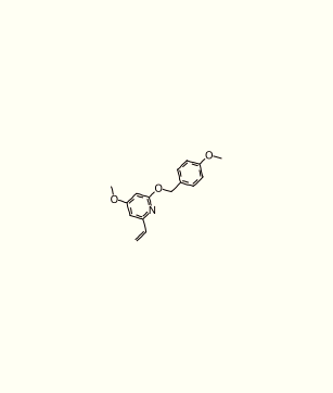 C=Cc1cc(OC)cc(OCc2ccc(OC)cc2)n1